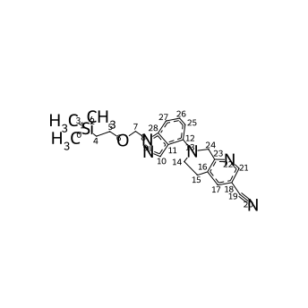 C[Si](C)(C)CCOCn1ncc2c(N3CCc4cc(C#N)cnc4C3)cccc21